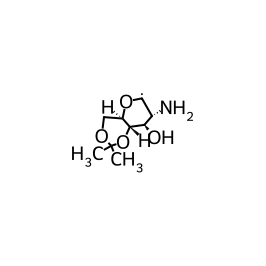 CC1(C)OC[C@H]2O[CH][C@H](N)[C@@H](O)[C@@H]2O1